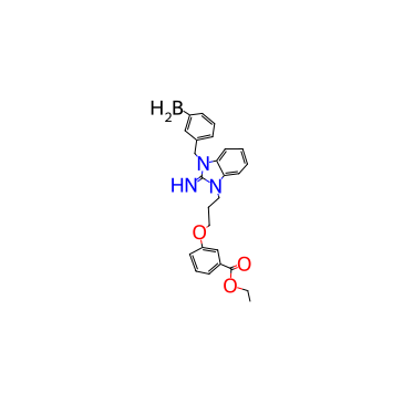 Bc1cccc(Cn2c(=N)n(CCCOc3cccc(C(=O)OCC)c3)c3ccccc32)c1